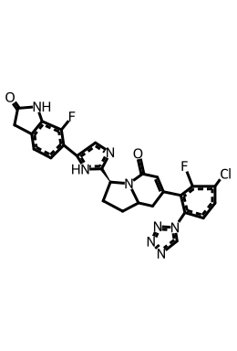 O=C1Cc2ccc(-c3cnc([C@@H]4CCC5CC(c6c(-n7cnnn7)ccc(Cl)c6F)=CC(=O)N54)[nH]3)c(F)c2N1